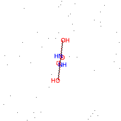 O=C(CCCCC(=O)NCCCCCCCCCCCCO)NCCCCCCCCCCCCO